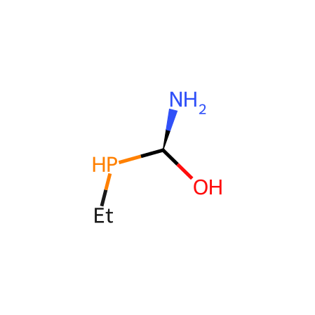 CCP[C@@H](N)O